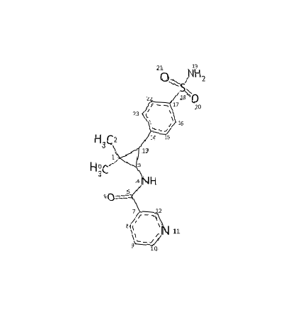 CC1(C)C(NC(=O)c2cccnc2)C1c1ccc(S(N)(=O)=O)cc1